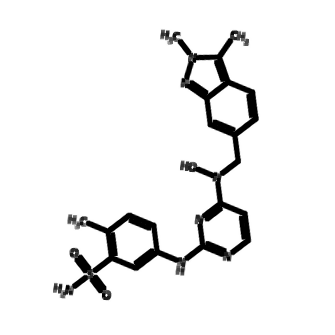 Cc1ccc(Nc2nccc(N(O)Cc3ccc4c(C)n(C)nc4c3)n2)cc1S(N)(=O)=O